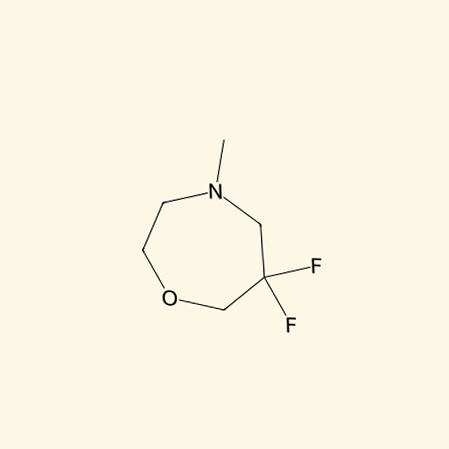 CN1CCOCC(F)(F)C1